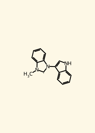 CN1[CH]N(c2c[nH]c3ccccc23)c2ccccc21